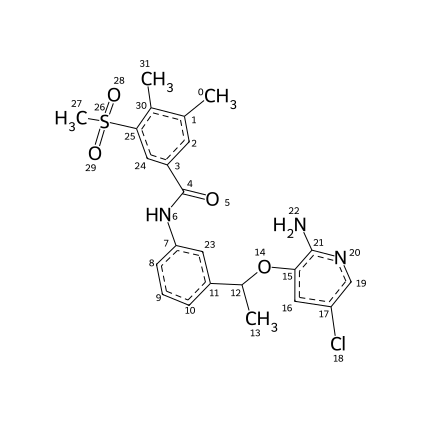 Cc1cc(C(=O)Nc2cccc(C(C)Oc3cc(Cl)cnc3N)c2)cc(S(C)(=O)=O)c1C